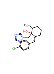 CC1CCC/C(=C/c2ccc(Cl)cc2)C1(O)Cn1cncn1